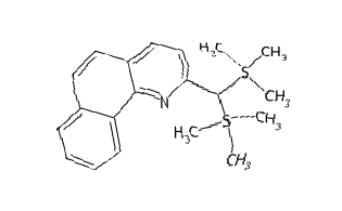 CS(C)(C)C(c1ccc2ccc3ccccc3c2n1)S(C)(C)C